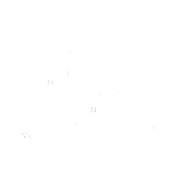 COc1ccc(Br)c(CC(=O)N(CCC=CC(=O)O)OC(C)(C)C)c1.O=C(Cl)C(=O)Cl